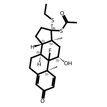 CCS[C@@]1(SC(C)=O)CC[C@H]2[C@@H]3CCC4=CC(=O)C=C[C@]4(C)C3(F)[C@@H](O)C[C@@]21C